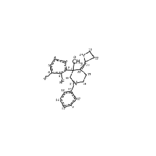 CC1(c2cccc(F)c2F)CN(c2ccccc2)CCC1=C1CCC1